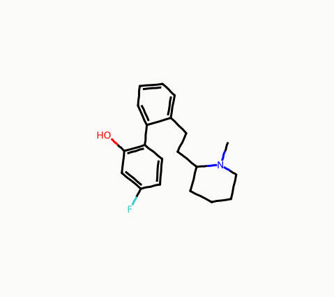 CN1CCCCC1CCc1ccccc1-c1ccc(F)cc1O